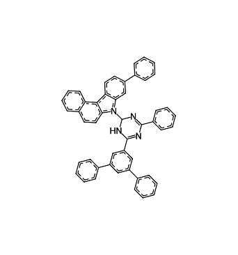 c1ccc(C2=NC(n3c4cc(-c5ccccc5)ccc4c4c5ccccc5ccc43)NC(c3cc(-c4ccccc4)cc(-c4ccccc4)c3)=N2)cc1